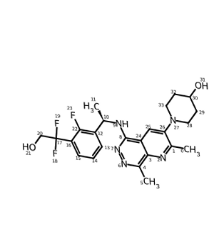 Cc1nc2c(C)nnc(N[C@H](C)c3cccc(C(F)(F)CO)c3F)c2cc1N1CCC(O)CC1